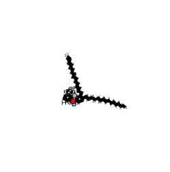 CCCCCCCCCCCCCCCCc1ccc(S(=O)(=O)O)c(Oc2ccccc2S(=O)(=O)O)c1CCCCCCCCCCCCCCCC